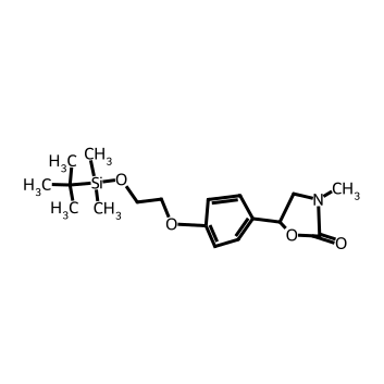 CN1CC(c2ccc(OCCO[Si](C)(C)C(C)(C)C)cc2)OC1=O